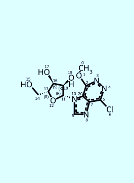 COc1nnc(Cl)c2ncn([C@@H]3O[C@H](CO)[C@@H](O)[C@H]3O)c12